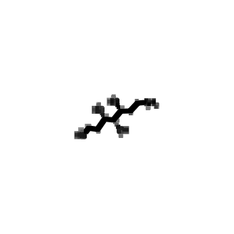 NCC[C@@H](O)[C@H](O)[C@@H](O)CCO